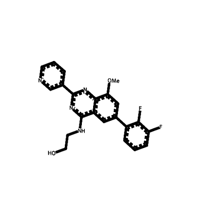 COc1cc(-c2cccc(F)c2F)cc2c(NCCO)nc(-c3cccnc3)nc12